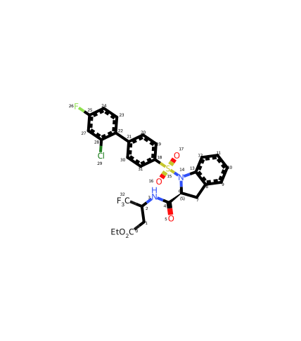 CCOC(=O)CC(NC(=O)[C@@H]1Cc2ccccc2N1S(=O)(=O)c1ccc(-c2ccc(F)cc2Cl)cc1)C(F)(F)F